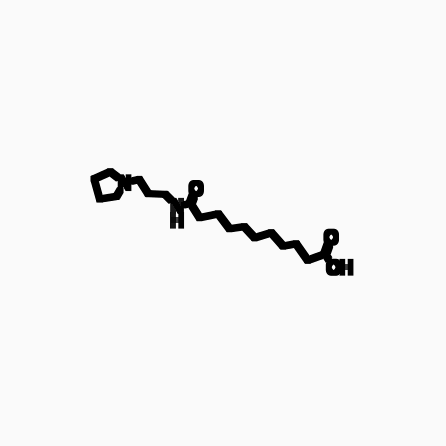 O=C(O)CCCCCCCCCC(=O)NCCCN1CCCC1